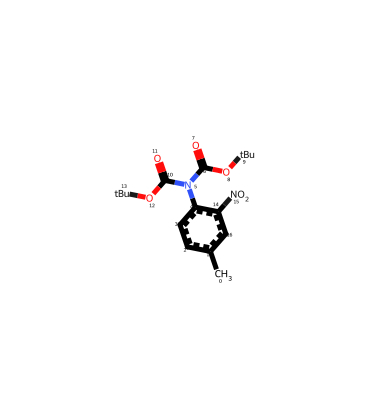 Cc1ccc(N(C(=O)OC(C)(C)C)C(=O)OC(C)(C)C)c([N+](=O)[O-])c1